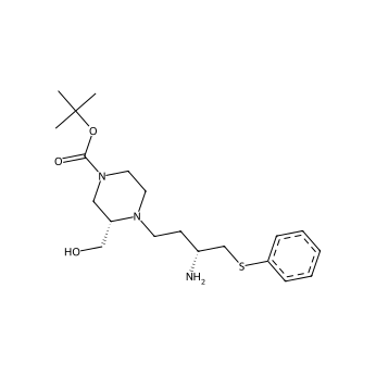 CC(C)(C)OC(=O)N1CCN(CC[C@@H](N)CSc2ccccc2)[C@H](CO)C1